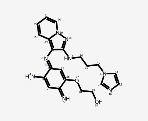 N=C1C=C(N)/C(=N/c2c(NCCCn3ccnc3)nn3ccccc23)C=C1OCCO